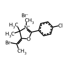 C/C(Br)=C1\OC(c2ccc(Cl)cc2)=[N+](C)C1(C)C.[Br-]